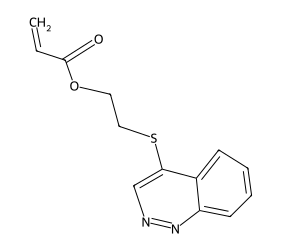 C=CC(=O)OCCSc1cnnc2ccccc12